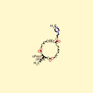 C=C=C=C=C1C(CCCCC)CC(=O)OCCCCCCCCC(C(=O)OCCCN2CCN(C)CC2)CCCCCCCCOC(=O)CC1CCCCC